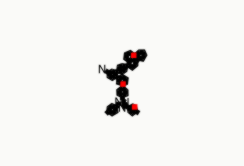 Cc1ccc(-c2nc(-c3ccc(C)cc3)nc(-c3ccc(-c4cccc(-c5ccc(C#N)cc5-c5ccc(-c6ccc7c8c(cccc68)-c6ccccc6-7)cc5)c4)cc3)n2)cc1